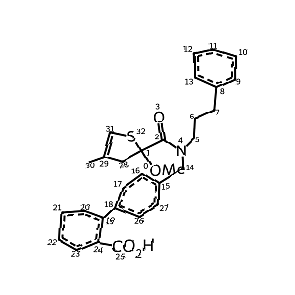 COC1(C(=O)N(CCCc2ccccc2)Cc2ccc(-c3ccccc3C(=O)O)cc2)CC(C)=CS1